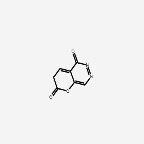 O=C1CC=C2C(=O)N=NC=C2O1